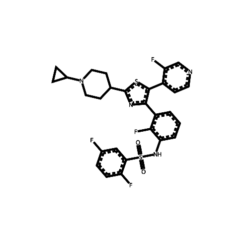 O=S(=O)(Nc1cccc(-c2nc(C3CCN(C4CC4)CC3)sc2-c2ccncc2F)c1F)c1cc(F)ccc1F